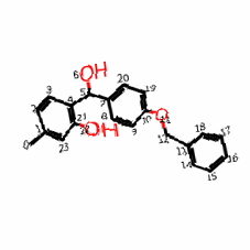 Cc1ccc(C(O)c2ccc(OCc3ccccc3)cc2)c(O)c1